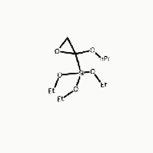 CCCOC1([Si](OCC)(OCC)OCC)CO1